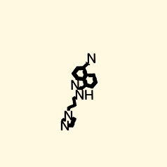 N#Cc1ccc2c3c(cccc13)C(NCCCn1ccnc1)=N2